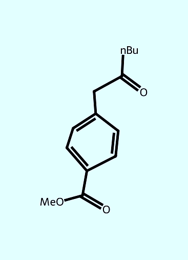 CCCCC(=O)Cc1ccc(C(=O)OC)cc1